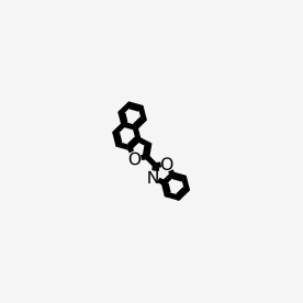 c1ccc2c(c1)ccc1oc(-c3nc4ccccc4o3)cc12